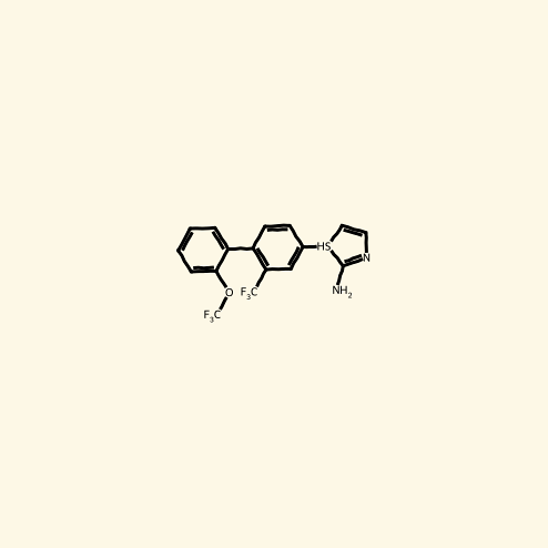 NC1=NC=C[SH]1c1ccc(-c2ccccc2OC(F)(F)F)c(C(F)(F)F)c1